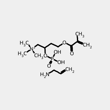 C=C(C)C(=O)OCCC(C[N+](C)(C)C)OP(=O)(O)O.C=CCN